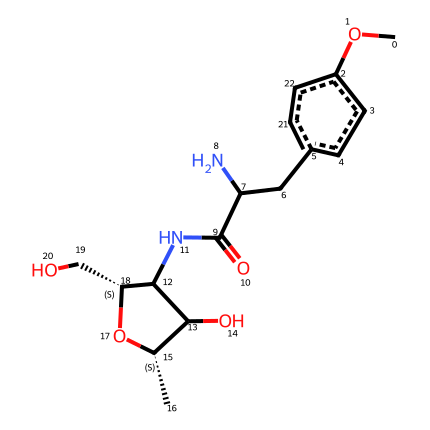 COc1ccc(CC(N)C(=O)NC2C(O)[C@H](C)O[C@@H]2CO)cc1